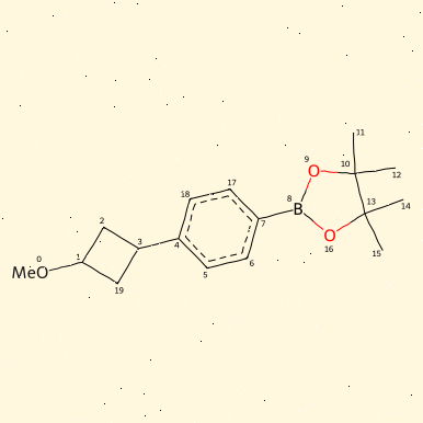 COC1CC(c2ccc(B3OC(C)(C)C(C)(C)O3)cc2)C1